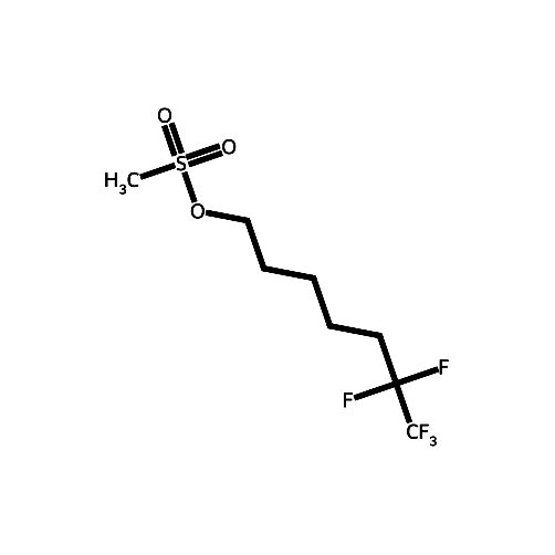 CS(=O)(=O)OCCCCCC(F)(F)C(F)(F)F